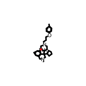 Cc1ccc(OCCCN2CCC(C3(C4CCCC4)CN(C)Cc4cccc(P)c43)CC2)cc1